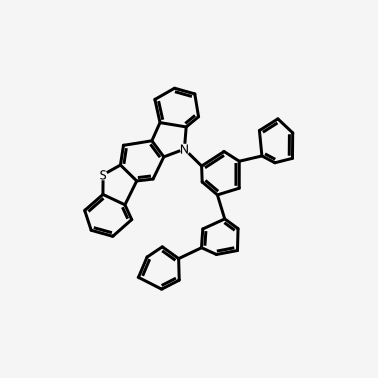 c1ccc(-c2cccc(-c3cc(-c4ccccc4)cc(-n4c5ccccc5c5cc6sc7ccccc7c6cc54)c3)c2)cc1